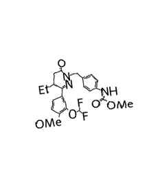 CCC1CC(=O)N(Cc2ccc(NC(=O)OC)cc2)N=C1c1ccc(OC)c(OC(F)F)c1